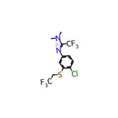 CN(C)/C(=N/c1ccc(Cl)c(SCC(F)(F)F)c1)C(F)(F)F